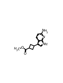 COC(=O)C1CC(c2c[nH]c3nc(N)ccc23)C1